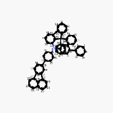 c1ccc(-c2ccc(N(c3ccc(-c4ccc5c(c4)-c4cccc6cccc-5c46)cc3)c3cccc4c3C(c3ccccc3)(c3ccccc3)c3ccccc3-4)cc2)cc1